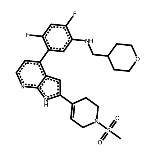 CS(=O)(=O)N1CC=C(c2cc3c(-c4cc(NCC5CCOCC5)c(F)cc4F)ccnc3[nH]2)CC1